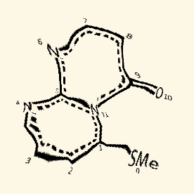 CSc1ccnc2nccc(=O)n12